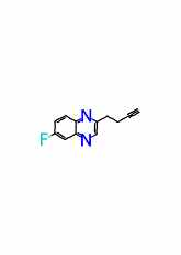 C#CCCc1cnc2cc(F)ccc2n1